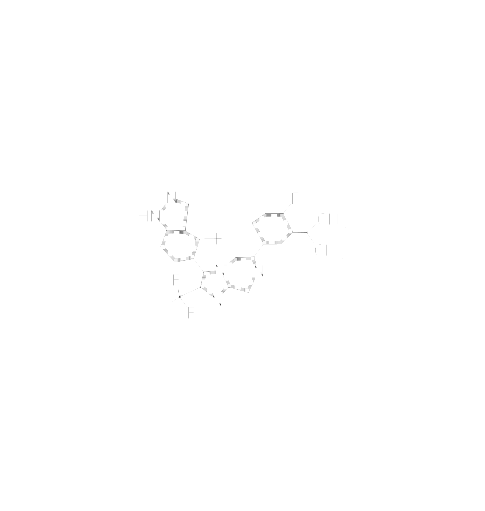 CC(C)c1cc(-c2cn3c(-c4ccc5[nH]ncc5c4F)c(C(F)(F)F)nc3cn2)ccc1F